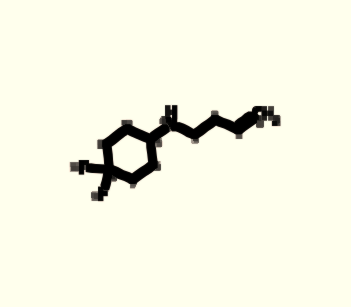 C=CCCNC1CCC(F)(F)CC1